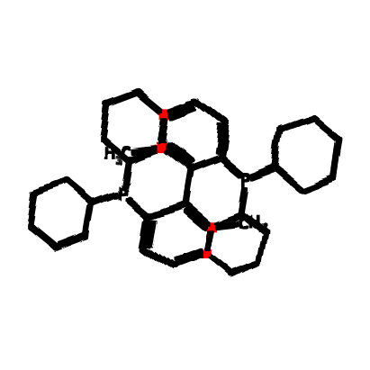 Cc1cccc(P(C2CCCCC2)C2CCCCC2)c1-c1c(C)cccc1P(C1CCCCC1)C1CCCCC1